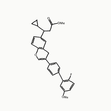 COC(=O)CC(c1ccc2c(c1)CC(c1ccc(-c3cc(OC)ccc3F)cc1)=CO2)C1CC1